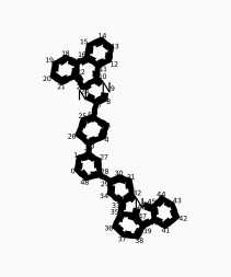 c1cc(-c2ccc(-c3cnc4c5ccccc5c5ccccc5c4n3)cc2)cc(-c2ccc3c(c2)c2cccc4c5ccccc5n3c42)c1